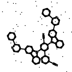 N#Cc1cccc(-c2cc(-n3c4ccccc4c4cc(-c5ccnc(-c6ccccc6)c5)ccc43)c(C#N)cc2-n2c3ccccc3c3cc(-c4ccnc(-c5ccccc5)c4)ccc32)c1